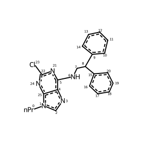 CCCn1cnc2c(NCC(c3ccccc3)c3ccccc3)nc(Cl)nc21